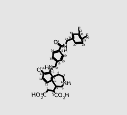 O=C(O)CC(C(=O)O)C1CNCCc2c1ccc(Cl)c2NCc1ccc(C(=O)NCc2ccc(F)c(F)c2)cc1